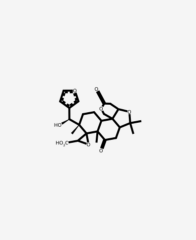 CC1(C)OC2CC(=O)OCC23C1CC(=O)C1(C)C3CC[C@@](C)([C@@H](O)c2ccoc2)C12OC2C(=O)O